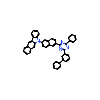 c1ccc(-c2cccc(-c3nc(-c4ccccc4)nc(-c4ccc5cc(-n6c7ccccc7c7cc8ccccc8cc76)ccc5c4)n3)c2)cc1